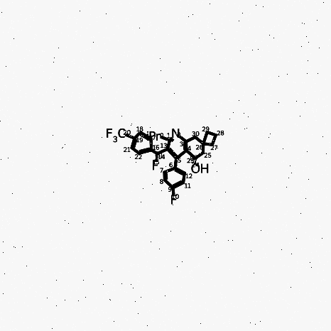 CC(C)c1nc2c(c(-c3ccc(F)cc3)c1[C@@H](F)c1ccc(C(F)(F)F)cc1)[C@@H](O)CC1(CCC1)C2